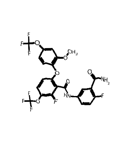 COc1cc(OC(F)(F)F)ccc1Oc1ccc(OC(F)(F)F)c(F)c1C(=O)Nc1ccc(F)c(C(N)=O)c1